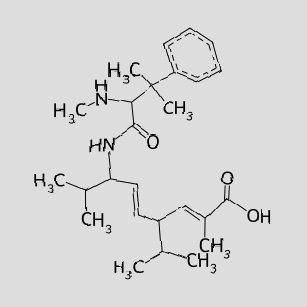 CNC(C(=O)NC(/C=C/C(/C=C(\C)C(=O)O)C(C)C)C(C)C)C(C)(C)c1ccccc1